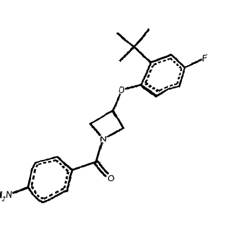 CC(C)(C)c1cc(F)ccc1OC1CN(C(=O)c2ccc(N)cc2)C1